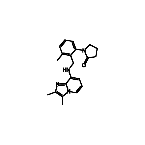 Cc1cccc(N2CCCC2=O)c1CNc1cccn2c(C)c(C)nc12